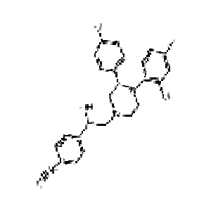 [C-]#[N+]c1ccc(C(O)CN2CCN(c3ccc(C)cc3Cl)[C@H](c3ccc(Cl)cc3)C2)cc1